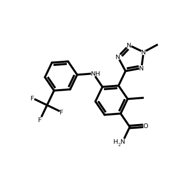 Cc1c(C(N)=O)ccc(Nc2cccc(C(F)(F)F)c2)c1-c1nnn(C)n1